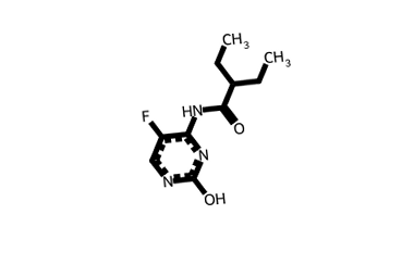 CCC(CC)C(=O)Nc1nc(O)ncc1F